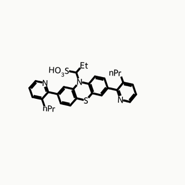 CCCc1cccnc1-c1ccc2c(c1)Sc1ccc(-c3ncccc3CCC)cc1N2C(CC)S(=O)(=O)O